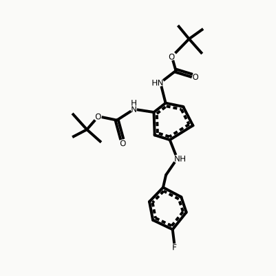 CC(C)(C)OC(=O)Nc1ccc(NCc2ccc(F)cc2)cc1NC(=O)OC(C)(C)C